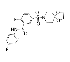 O=C(Nc1ccc(F)cc1)c1cc(S(=O)(=O)N2CCC3(CC2)OCCO3)ccc1F